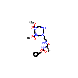 CC(C)C[C@H](NC(=O)OCc1ccccc1)C(=O)NCCCN1CCNCCN(C(=O)OC(C)(C)C)CCN(C(=O)OC(C)(C)C)CC1